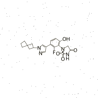 O=C1CN(c2c(O)ccc(-c3cnn(C4CC5(CCC5)C4)c3)c2F)S(=O)(=O)N1